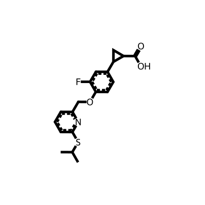 CC(C)Sc1cccc(COc2ccc(C3CC3C(=O)O)cc2F)n1